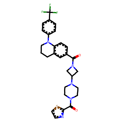 O=C(c1ccc2c(c1)CCCN2c1ccc(C(F)(F)F)cc1)N1CC(N2CCN(C(=O)c3nccs3)CC2)C1